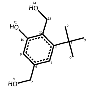 CC(C)(C)c1cc(CO)cc(O)c1CO